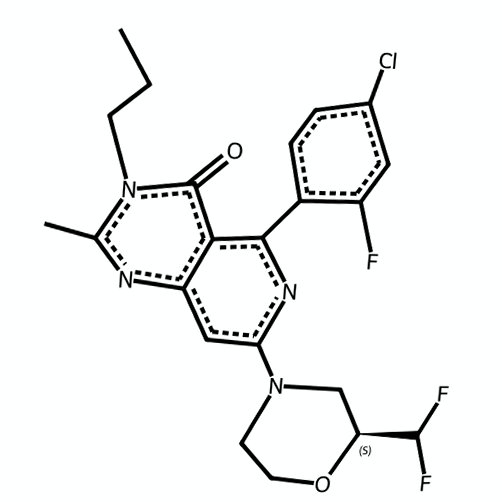 CCCn1c(C)nc2cc(N3CCO[C@H](C(F)F)C3)nc(-c3ccc(Cl)cc3F)c2c1=O